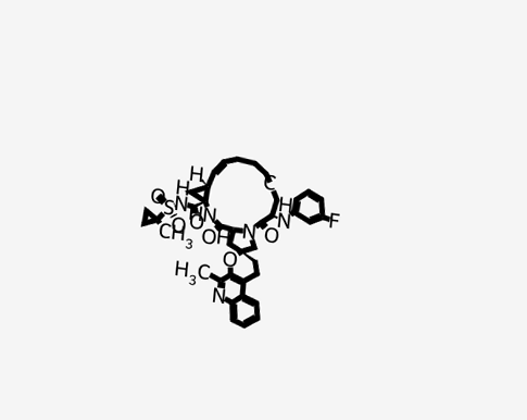 Cc1nc2ccccc2c2c1O[C@]1(CC2)C[C@H]2C(=O)N[C@]3(C(=O)NS(=O)(=O)C4(C)CC4)C[C@H]3/C=C\CCCCC[C@H](Nc3cccc(F)c3)C(=O)N2C1